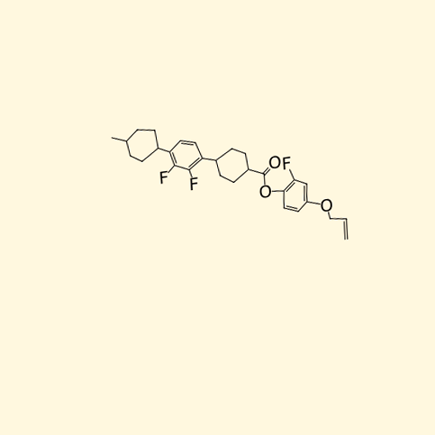 C=CCOc1ccc(OC(=O)C2CCC(c3ccc(C4CCC(C)CC4)c(F)c3F)CC2)c(F)c1